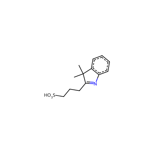 CC1(C)C(CCCS(=O)(=O)O)=Nc2ccccc21